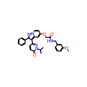 COc1cccc(CNC(=O)COc2ccn3nc(-c4ccccc4)c(-c4ccc(=O)n(C(C)C)n4)c3c2)c1